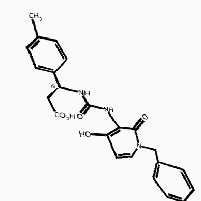 Cc1ccc([C@H](CC(=O)O)NC(=O)Nc2c(O)ccn(Cc3ccccc3)c2=O)cc1